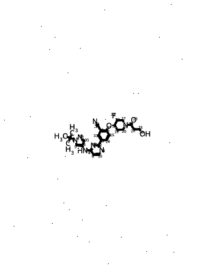 CC(C)(C)n1cc(Nc2ccnc(-c3ccc(O[C@H]4CCN(C(=O)CCO)C[C@H]4F)c(C#N)c3)n2)cn1